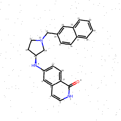 O=c1[nH]ccc2cc(N[C@H]3CCN(Cc4ccc5ccccc5c4)C3)ccc12